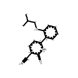 CC(C)COc1ccccc1-c1ccc(C#N)c(=O)[nH]1